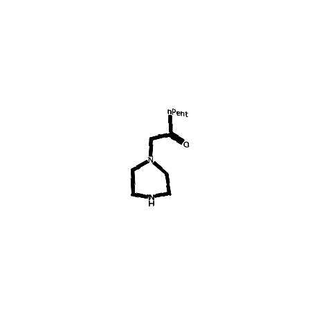 CCCCCC(=O)CN1CCNCC1